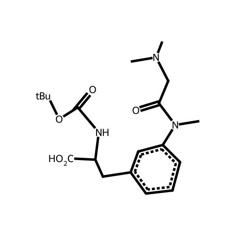 CN(C)CC(=O)N(C)c1cccc(CC(NC(=O)OC(C)(C)C)C(=O)O)c1